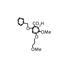 COCCCOc1cc(OCc2ccccc2)c(C(=O)O)cc1OC